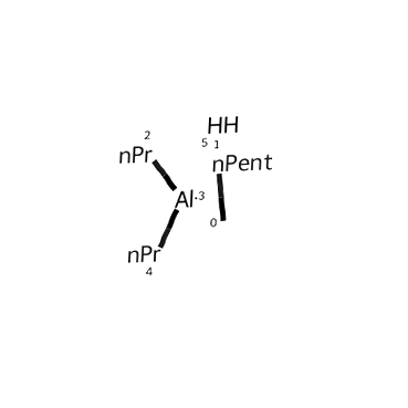 CCCCCC.CC[CH2][Al][CH2]CC.[HH]